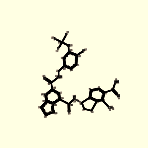 Cc1c(C(=O)O)ccc2c1CC[C@@H]2NC(=O)c1cc(C(=O)NCc2ccc(F)c(OC(F)(F)F)c2)nc2ccnn12